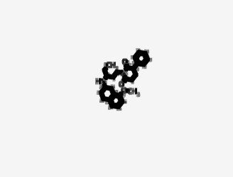 CCC(CCN1C(=O)CCC(c2ccccc2)C1=O)NC1CCc2cccc(OC)c2C1